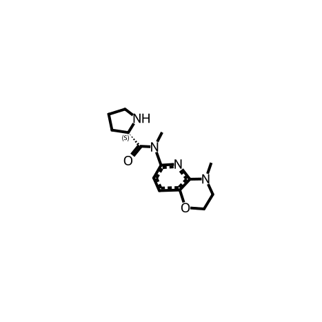 CN1CCOc2ccc(N(C)C(=O)[C@@H]3CCCN3)nc21